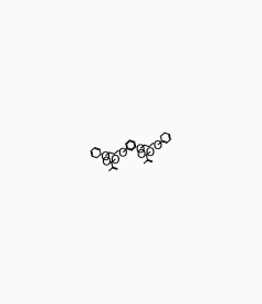 C=C(C)C(=O)OC(COC1=CC=CCC1)COc1cccc(OCC(COC2C=CC=CC2)OC(=O)C(=C)C)c1